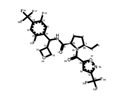 CC[C@@H]1CC[C@H](C(=O)NC(c2cc(F)c(C(F)(F)F)cc2F)C2COC2)N1C(=O)c1cc(C(F)(F)F)no1